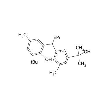 CCCC(c1cc(C)cc(C(C)(C)O)c1)c1cc(C)cc(C(C)(C)C)c1O